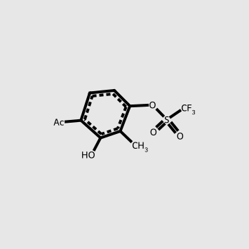 CC(=O)c1ccc(OS(=O)(=O)C(F)(F)F)c(C)c1O